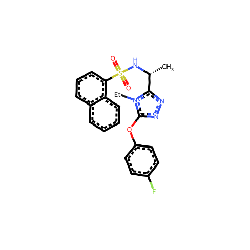 CCn1c(Oc2ccc(F)cc2)nnc1[C@@H](C)NS(=O)(=O)c1cccc2ccccc12